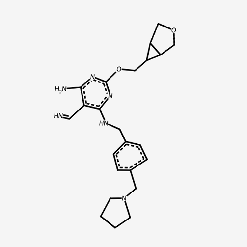 N=Cc1c(N)nc(OCC2C3COCC32)nc1NCc1ccc(CN2CCCC2)cc1